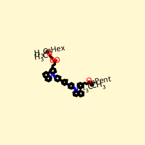 CCCCCCC(C)(C)OCCOC(=O)CCc1ccc(N(c2ccc(-c3ccc(-c4ccc(N(c5ccc(CCC(=O)C(C)(C)CCCCC)cc5)c5cccc6ccccc56)cc4)cc3)cc2)c2cccc3ccccc23)cc1